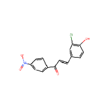 O=C(/C=C/c1ccc(O)c(Cl)c1)c1ccc([N+](=O)[O-])cc1